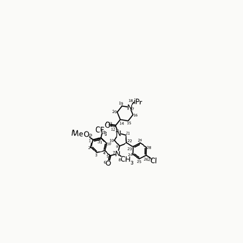 COc1ccc(C(=O)N(C)C2CN(C(=O)C3CCN(C(C)C)CC3)CC2c2ccc(Cl)cc2)cc1C(F)(F)F